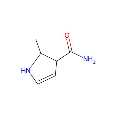 CC1NC=CC1C(N)=O